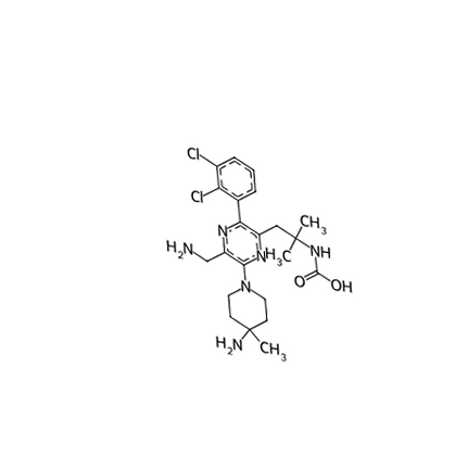 CC1(N)CCN(c2nc(CC(C)(C)NC(=O)O)c(-c3cccc(Cl)c3Cl)nc2CN)CC1